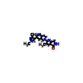 Cc1cc2c(nc1N1CCc3ncc(-c4cn(C)nc4C)cc3C1)CNC2=O